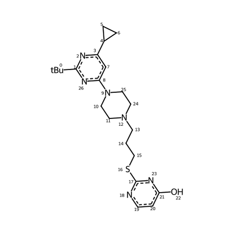 CC(C)(C)c1nc(C2CC2)cc(N2CCN(CCCSc3nccc(O)n3)CC2)n1